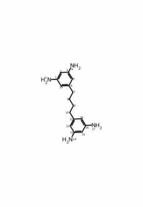 Nc1cc(N)cc(CCCCc2cc(N)cc(N)c2)c1